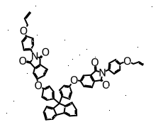 C=CCOc1ccc(N2C(=O)c3ccc(Oc4ccc(C5(c6ccc(Oc7ccc8c(c7)C(=O)N(c7ccc(OCC=C)cc7)C8=O)cc6)c6ccccc6-c6ccccc65)cc4)cc3C2=O)cc1